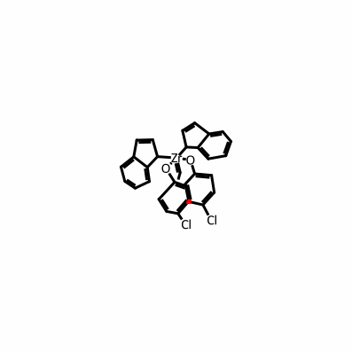 C[CH]=[Zr]([O]c1ccc(Cl)cc1)([O]c1ccc(Cl)cc1)([CH]1C=Cc2ccccc21)[CH]1C=Cc2ccccc21